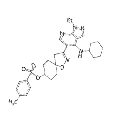 CCn1ncc2c(NC3CCCCC3)c(C3=NOC4(CCC(OS(=O)(=O)c5ccc(C)cc5)CC4)C3)cnc21